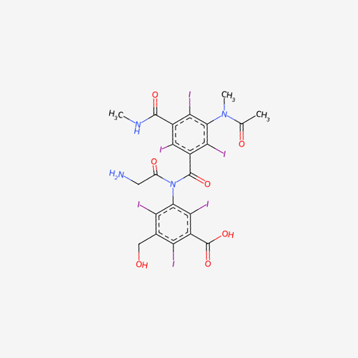 CNC(=O)c1c(I)c(C(=O)N(C(=O)CN)c2c(I)c(CO)c(I)c(C(=O)O)c2I)c(I)c(N(C)C(C)=O)c1I